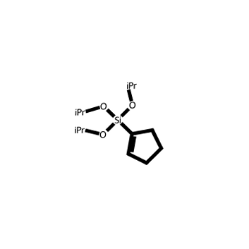 CC(C)O[Si](OC(C)C)(OC(C)C)C1=CCCC1